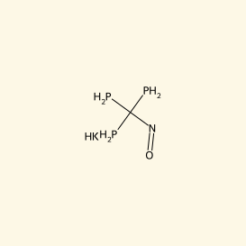 O=NC(P)(P)P.[KH]